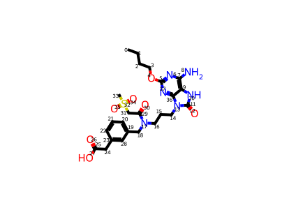 CCCCOc1nc(N)c2[nH]c(=O)n(CCCN(Cc3cccc(CC(=O)O)c3)C(=O)CS(C)(=O)=O)c2n1